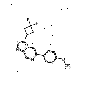 FC1(F)CC(c2nnc3cnc(-c4ccc(OC(F)(F)F)cc4)cn23)C1